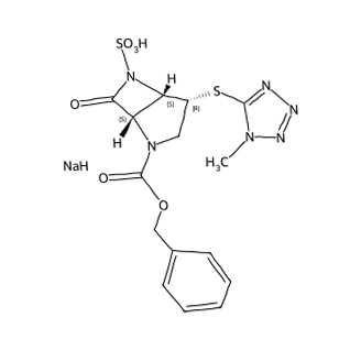 Cn1nnnc1S[C@@H]1CN(C(=O)OCc2ccccc2)[C@@H]2C(=O)N(S(=O)(=O)O)[C@@H]21.[NaH]